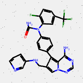 NC(=O)N(c1ccc(-c2c(CNc3cccnc3)cn3ncnc(N)c23)cc1)c1cc(C(F)(F)F)ccc1F